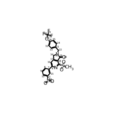 CS(=O)(=O)c1nc(-c2cccc([N+](=O)[O-])c2)cc2c1C(=O)N(Cc1ccc(OC(F)(F)F)cc1)C2